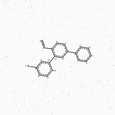 C=Cc1ccc(-c2ccccc2)cc1-c1cc(F)ccn1